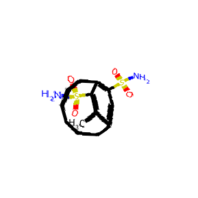 Cc1c2cc(S(N)(=O)=O)c(c1S(N)(=O)=O)CCCCCC2